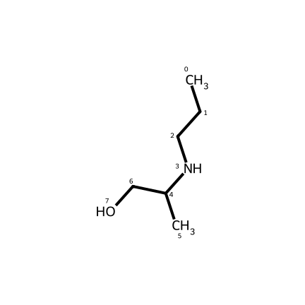 CCCNC(C)CO